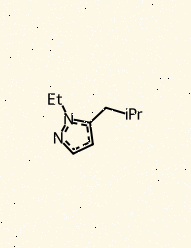 CCn1nccc1CC(C)C